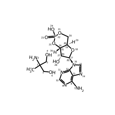 CC(N)(CO)CO.Nc1ncnc2c1ncn2[C@@H]1O[C@@H]2COP(=O)(O)O[C@H]2[C@H]1O